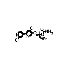 CC(C)C[C@@](C)(COc1cnc(-c2ccnc(Cl)c2)cc1Cl)OC(N)=O